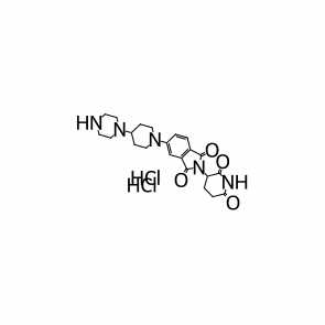 Cl.Cl.O=C1CCC(N2C(=O)c3ccc(N4CCC(N5CCNCC5)CC4)cc3C2=O)C(=O)N1